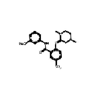 COc1cccc(NC(=O)c2cc([N+](=O)[O-])ccc2/N=C2\CN(C)CCN2C)c1